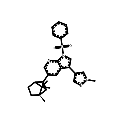 Cn1cc(-c2cn(S(=O)(=O)c3ccccc3)c3ncc(C4=C[C@]5(C)CCC4C5(C)C)cc23)cn1